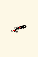 O=S(=O)(N1CCOCC1)N1CCC(c2cc(NCc3ccc(Cl)s3)[nH]n2)CC1